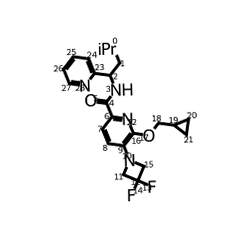 CC(C)CC(NC(=O)c1ccc(N2CC(F)(F)C2)c(OCC2CC2)n1)c1ccccn1